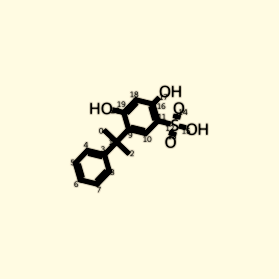 CC(C)(c1ccccc1)c1cc(S(=O)(=O)O)c(O)cc1O